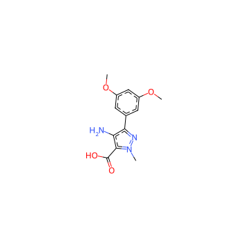 COc1cc(OC)cc(-c2nn(C)c(C(=O)O)c2N)c1